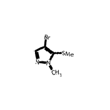 CSc1c(Br)[c]nn1C